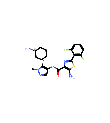 Cn1ncc(NC(=O)c2nc(-c3c(F)cccc3F)sc2N)c1[C@H]1CCC[C@H](N)C1